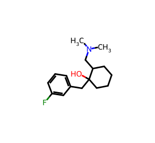 CN(C)CC1CCCCC1(O)Cc1cccc(F)c1